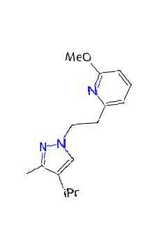 COc1cccc(CCn2cc(C(C)C)c(C)n2)n1